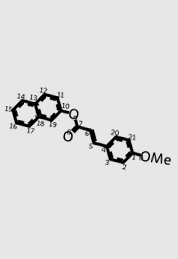 COc1ccc(C=CC(=O)Oc2ccc3ccccc3c2)cc1